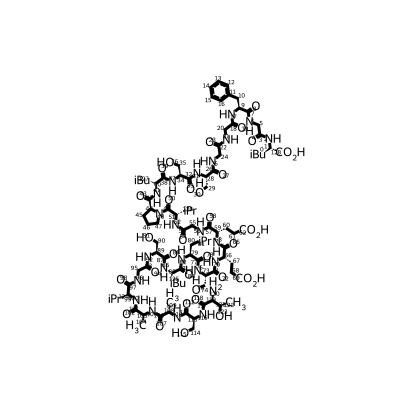 CC[C@H](C)[C@H](NC(=O)CNC(=O)[C@H](Cc1ccccc1)NC(=O)CNC(=O)CNC(=O)[C@H](CO)NC(=O)[C@H](CO)NC(=O)[C@@H](NC(=O)[C@@H]1CCCN1C(=O)[C@@H](NC(=O)CNC(=O)[C@H](CCC(=O)O)NC(=O)[C@H](CCC(=O)O)NC(=O)[C@H](CO)NC(=O)[C@H](CC(C)C)NC(=O)[C@@H](NC(=O)[C@H](CO)NC(=O)CNC(=O)[C@@H](NC(=O)[C@H](C)NC(=O)[C@H](C)NC(=O)[C@H](CO)NC(=O)[C@@H](N)[C@@H](C)O)C(C)C)[C@@H](C)CC)C(C)C)[C@@H](C)CC)C(=O)O